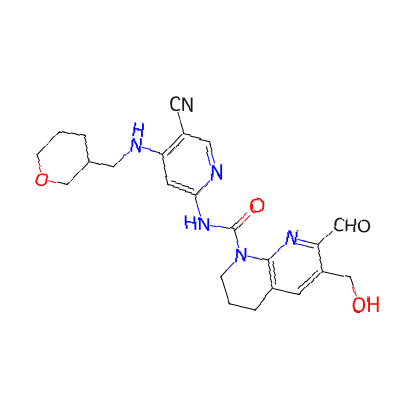 N#Cc1cnc(NC(=O)N2CCCc3cc(CO)c(C=O)nc32)cc1NCC1CCCOC1